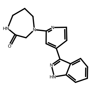 O=C1CN(c2cc(-c3n[nH]c4ccccc34)ccn2)CCCN1